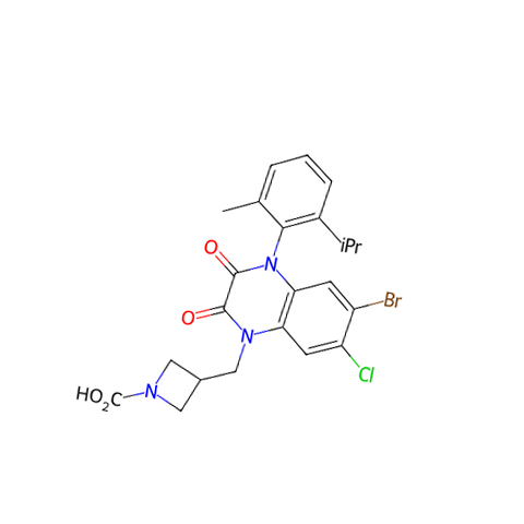 Cc1cccc(C(C)C)c1-n1c(=O)c(=O)n(CC2CN(C(=O)O)C2)c2cc(Cl)c(Br)cc21